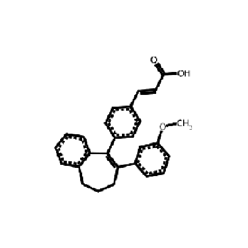 COc1cccc(C2=C(c3ccc(C=CC(=O)O)cc3)c3ccccc3CCC2)c1